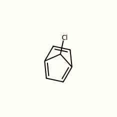 ClC1C2=CC=C1C=C2